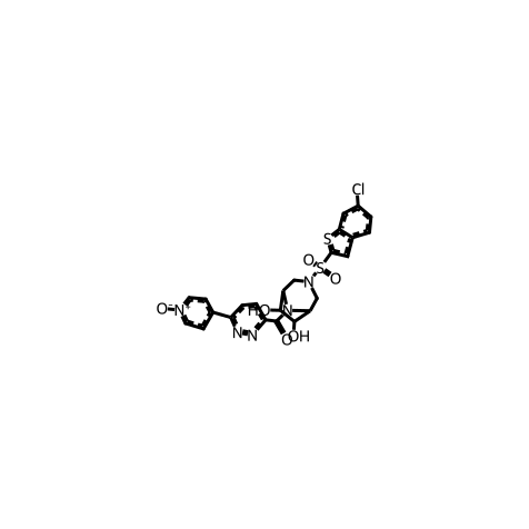 O=C(c1ccc(-c2cc[n+]([O-])cc2)nn1)N1C2CN(S(=O)(=O)c3cc4ccc(Cl)cc4s3)CC1C(O)C2O